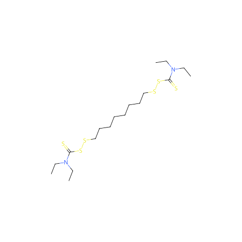 CCN(CC)C(=S)SSCCCCCCCCSSC(=S)N(CC)CC